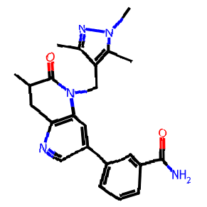 Cc1nn(C)c(C)c1CN1C(=O)C(C)Cc2ncc(-c3cccc(C(N)=O)c3)cc21